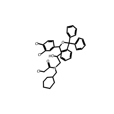 O=C(CCl)N(CC(O)CC(OC(c1ccccc1)(c1ccccc1)c1ccccc1)c1ccc(Cl)c(Cl)c1)CC1CCCCC1